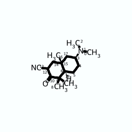 CN(C)[C@H]1CC[C@H]2C(C)(C)C(=O)C(C#N)C[C@]2(C)C1